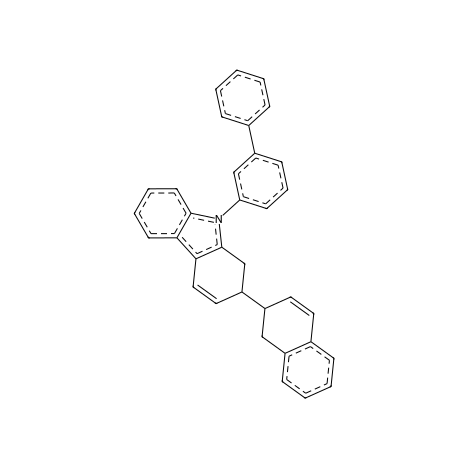 C1=CC(C2C=Cc3c(n(-c4cccc(-c5ccccc5)c4)c4ccccc34)C2)Cc2ccccc21